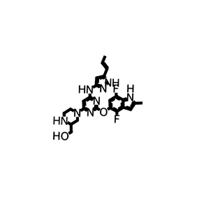 C/C=C/c1cc(Nc2cc(N3CCNC(CO)C3)nc(Oc3cc(F)c4[nH]c(C)cc4c3F)n2)n[nH]1